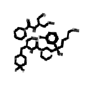 CNC[C@H](CC(C)C)NC(=O)N1CCCCC1.CNC[C@H](CC1CCC(F)(F)CC1)NC(=O)N1CCC[C@@H]([C@@](O)(CCCCOC)c2cccc(Cl)c2)C1